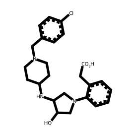 O=C(O)Cc1ccccc1N1CC(O)C(NC2CCN(Cc3ccc(Cl)cc3)CC2)C1